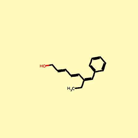 CCC(=Cc1ccccc1)/C=C/C=C/CO